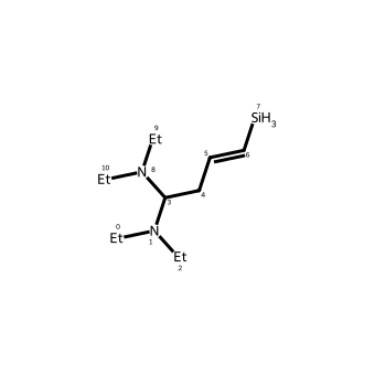 CCN(CC)C(CC=C[SiH3])N(CC)CC